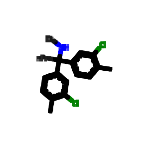 [CH2]CNC(CCC)(c1ccc(C)c(Cl)c1)c1ccc(C)c(Cl)c1